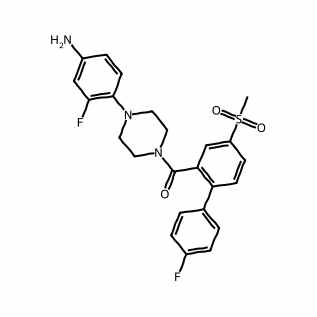 CS(=O)(=O)c1ccc(-c2ccc(F)cc2)c(C(=O)N2CCN(c3ccc(N)cc3F)CC2)c1